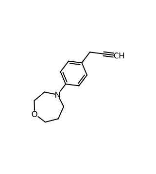 C#CCc1ccc(N2CCCOCC2)cc1